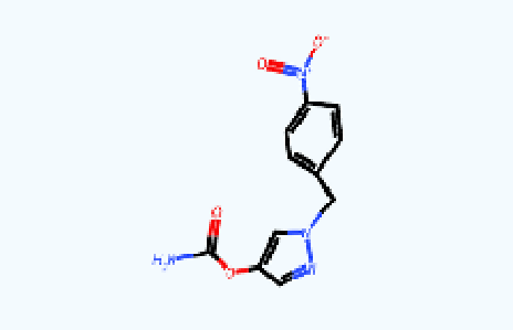 NC(=O)Oc1cnn(Cc2ccc([N+](=O)[O-])cc2)c1